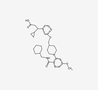 COc1ccc(C(=O)NCC2CCCCC2)c(N2CCC(COc3cccc(C(CC(=O)O)C4CC4)c3)CC2)c1